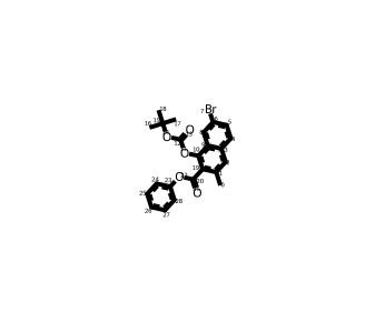 Cc1cc2ccc(Br)cc2c(OC(=O)OC(C)(C)C)c1C(=O)Oc1ccccc1